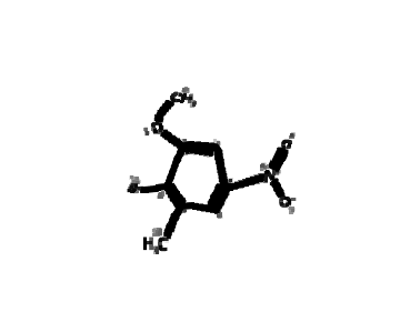 COc1cc([N+](=O)[O-])cc(C)c1Br